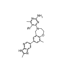 Cc1nc2cc(-c3cc(C)c4c(c3)CN(c3nc(N)nc(C)c3C(C)C)CCO4)cnc2[nH]1